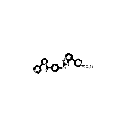 CCOC(=O)N1CC=C(c2cccn3nc(Nc4ccc(C(=O)N5CCCC5c5ccncc5)cc4)nc23)CC1